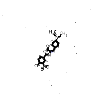 CCN(CC)c1ccc(/C=C2/N=C(c3ccc(Cl)c([N+](=O)[O-])c3)OC2=O)cc1